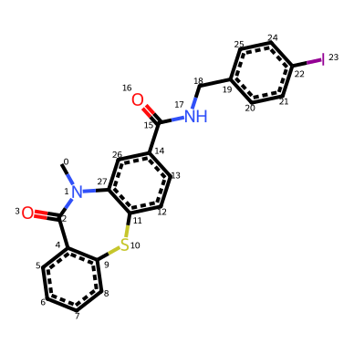 CN1C(=O)c2ccccc2Sc2ccc(C(=O)NCc3ccc(I)cc3)cc21